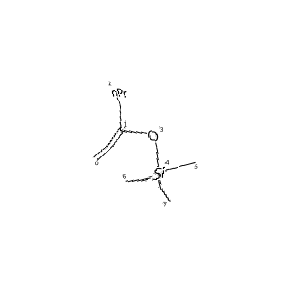 C=C(CCC)O[Si](C)(C)C